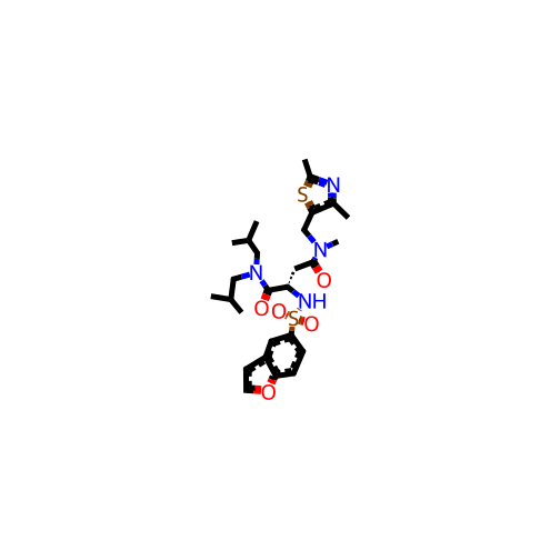 Cc1nc(C)c(CN(C)C(=O)C[C@H](NS(=O)(=O)c2ccc3occc3c2)C(=O)N(CC(C)C)CC(C)C)s1